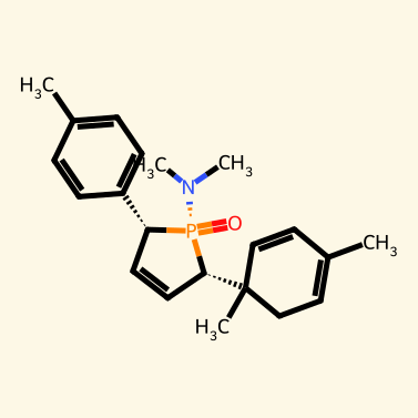 CC1=CCC(C)([C@@H]2C=C[C@H](c3ccc(C)cc3)[P@]2(=O)N(C)C)C=C1